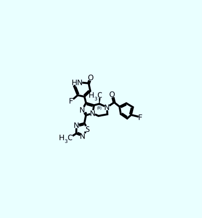 Cc1nsc(-c2nc(-c3cc(=O)[nH]cc3F)c3n2CCN(C(=O)c2ccc(F)cc2)[C@@H]3C)n1